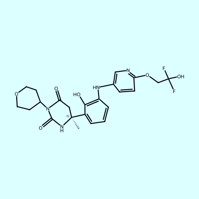 C[C@@]1(c2cccc(Nc3ccc(OCC(O)(F)F)nc3)c2O)CC(=O)N(C2CCOCC2)C(=O)N1